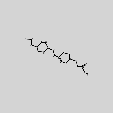 C=C(CC)CCC1CC=C(CCC2CCC(CCC)CC2)CC1